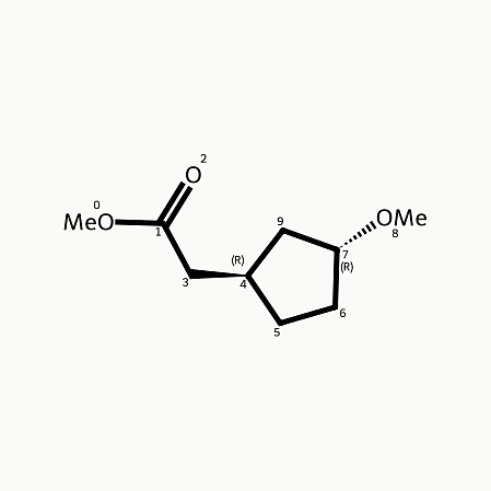 COC(=O)C[C@@H]1CC[C@@H](OC)C1